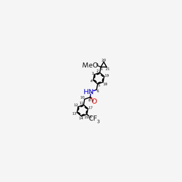 COC1(c2ccc(CNC(=O)Cc3cccc(C(F)(F)F)c3)cc2)CC1